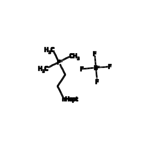 CCCCCCCCC[P+](C)(C)C.F[B-](F)(F)F